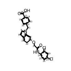 O=C(CO[C@H]1C=c2c(ccn2Cc2ccc(C(=O)O)cc2)=CC1)Nc1ccc(Cl)cc1Cl